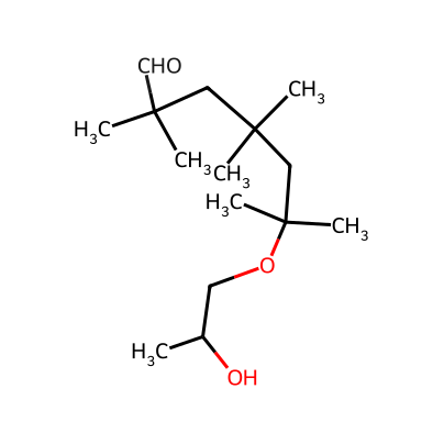 CC(O)COC(C)(C)CC(C)(C)CC(C)(C)C=O